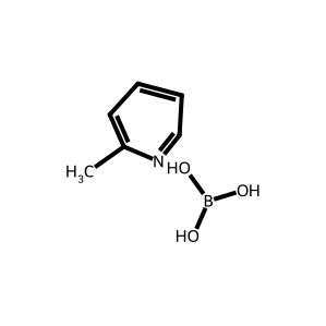 Cc1ccccn1.OB(O)O